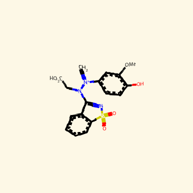 C=[N+](c1ccc(O)c(OC)c1)N(CC(=O)O)C1=NS(=O)(=O)c2ccccc21